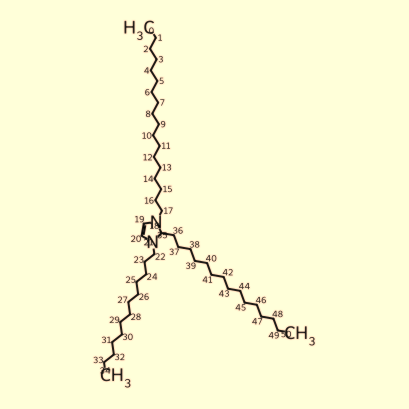 CCCCCCCCCCCCCCCCCCN1C=CN(CCCCCCCCCCCCC)C1CCCCCCCCCCCCCCC